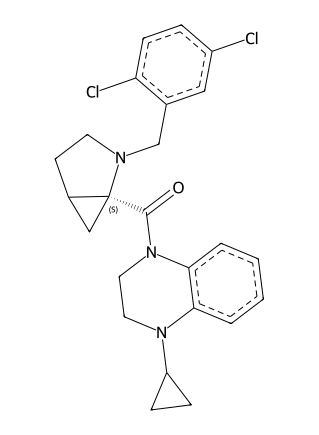 O=C(N1CCN(C2CC2)c2ccccc21)[C@]12CC1CCN2Cc1cc(Cl)ccc1Cl